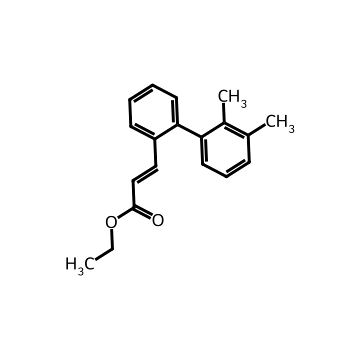 CCOC(=O)/C=C/c1ccccc1-c1cccc(C)c1C